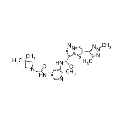 Cc1ncc(NC(=O)CN2CC(C)(C)C2)cc1NC(=O)c1cnn2cc(-c3nn(C)nc3C)sc12